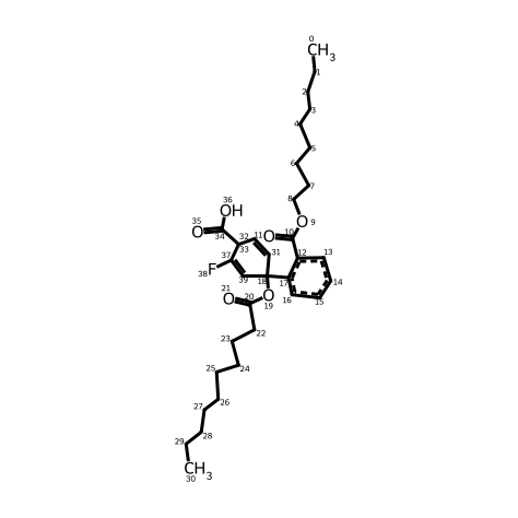 CCCCCCCCCOC(=O)c1ccccc1C1(OC(=O)CCCCCCCCC)C=CC(C(=O)O)C(F)=C1